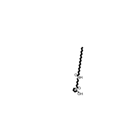 CCCCCCCCCCCCCCCCCC(=O)NCCCCCC(=O)N1CCC[C@H]1CO